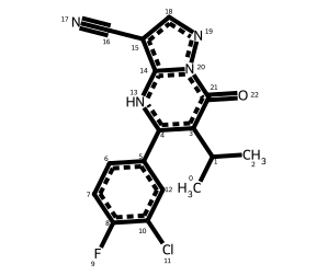 CC(C)c1c(-c2ccc(F)c(Cl)c2)[nH]c2c(C#N)cnn2c1=O